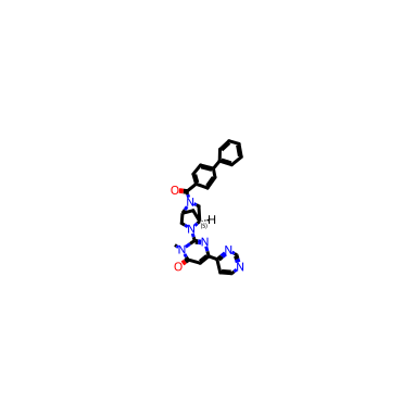 Cn1c(N2CC3C[C@H]2CN3C(=O)c2ccc(-c3ccccc3)cc2)nc(-c2ccncn2)cc1=O